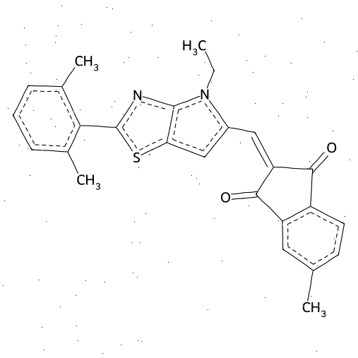 CCn1c(/C=C2/C(=O)c3ccc(C)cc3C2=O)cc2sc(-c3c(C)cccc3C)nc21